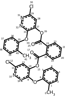 Cc1ccccc1Oc1nnc(Cl)cc1OC(=O)c1ccccc1C(=O)Oc1cc(Cl)nnc1Oc1ccccc1C